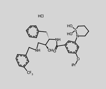 CC(C)Oc1cc(C(=O)N[C@@H](Cc2ccccc2)[C@@H](O)CNCc2cccc(C(F)(F)F)c2)cc(N2CCCCS2(O)O)c1.Cl